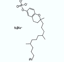 CC(C)CCCC(C)CCCC(C)CCCC1(C)CCc2cc(OP(=O)([O-])[O-])ccc2O1.[Na+].[Na+]